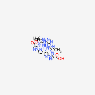 COC(=O)c1cnn(-c2ccccn2)c1/N=N/c1c(C)nn(-c2cc(-n3nc(C)c(/N=N/c4c(C(=O)CO)cnn4-c4ccccn4)c3N)ncn2)c1N